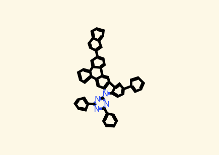 c1ccc(-c2ccc3c(c2)c2cc4c5ccc(-c6ccc7ccccc7c6)cc5c5ccccc5c4cc2n3-c2nc(-c3ccccc3)nc(-c3ccccc3)n2)cc1